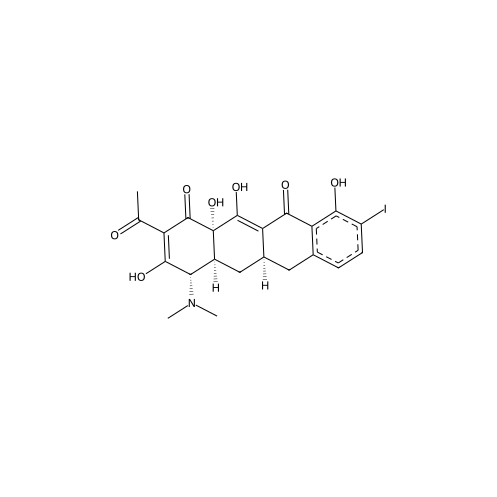 CC(=O)C1=C(O)[C@@H](N(C)C)[C@@H]2C[C@@H]3Cc4ccc(I)c(O)c4C(=O)C3=C(O)[C@]2(O)C1=O